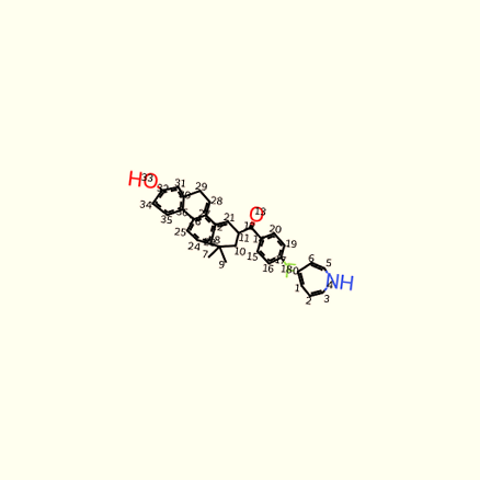 C1=CC=CNC=C1.CC1(C)CC(C(=O)c2ccc(F)cc2)C=c2c1ccc1c2=CCc2cc(O)ccc2-1